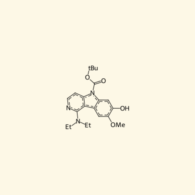 CCN(CC)c1nccc2c1c1cc(OC)c(O)cc1n2C(=O)OC(C)(C)C